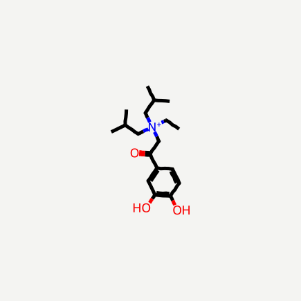 CC[N+](CC(=O)c1ccc(O)c(O)c1)(CC(C)C)CC(C)C